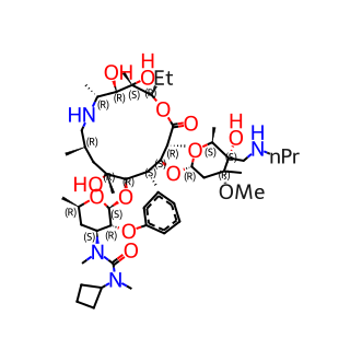 CCCNC[C@]1(O)[C@H](C)O[C@@H](O[C@H]2[C@H](C)[C@@H](O[C@@H]3O[C@H](C)C[C@H](N(C)C(=O)N(C)C4CCC4)[C@H]3Oc3ccccc3)[C@](C)(O)C[C@@H](C)CN[C@H](C)[C@@H](O)[C@](C)(O)[C@@H](CC)OC(=O)[C@@H]2C)C[C@@]1(C)OC